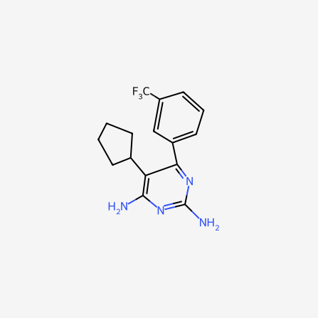 Nc1nc(N)c(C2CCCC2)c(-c2cccc(C(F)(F)F)c2)n1